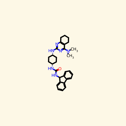 CN(C)c1nc(N[C@H]2CC[C@@H](NC(=O)NC3c4ccccc4-c4ccccc43)CC2)nc2c1CCCC2